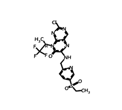 CCS(=O)(=O)c1ccc(CNc2nc3cnc(Cl)nc3n([C@H](C)C(F)(F)F)c2=O)nc1